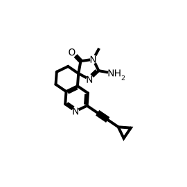 CN1C(=O)C2(CCCc3cnc(C#CC4CC4)cc32)N=C1N